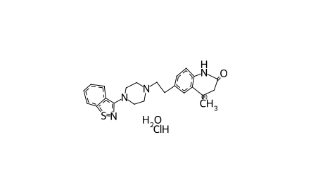 C[C@@H]1CC(=O)Nc2ccc(CCN3CCN(c4nsc5ccccc45)CC3)cc21.Cl.O